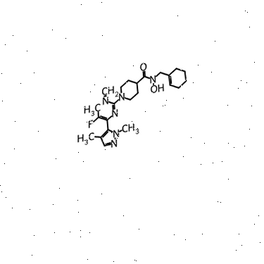 C=N/C(=N\C(=C(/C)F)c1c(C)cnn1C)N1CCC(C(=O)N(O)CC2=CCCCC2)CC1